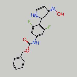 O=C(Nc1cc(F)c(C2CC(=NO)C=CN2)c(F)c1)OCc1ccccc1